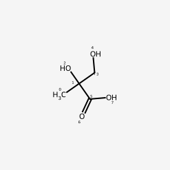 CC(O)([CH]O)C(=O)O